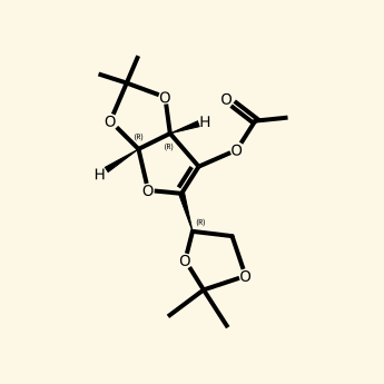 CC(=O)OC1=C([C@H]2COC(C)(C)O2)O[C@@H]2OC(C)(C)O[C@H]12